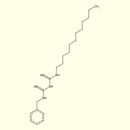 CCCCCCCCCCCCNC(=N)NC(=N)NCc1ccccc1